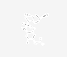 N#Cc1ccc2c(S(=O)(=O)Nc3cc(F)c(OC(F)F)cc3F)c[nH]c2c1